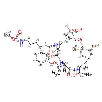 COC(=O)[C@@H]1Cc2cc(Br)c(c(Br)c2)Oc2cc(cc(I)c2O)C[C@H](NC(=O)CCCCCNC(=O)OC(C)(C)C)C(=O)N[C@@H](C(C)OCc2ccccc2)C(=O)N1